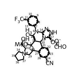 COC(=O)C1=C(C)N(c2cccc(C(F)(F)F)c2)c2n[nH]c(=O)n2C1c1ccc(C#N)cc1CC[N+]1(CCO)CCCC1.O=C[O-]